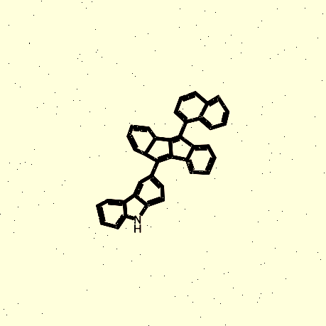 C1=CC2C3=C(c4cccc5ccccc45)c4ccccc4C3=C(c3ccc4[nH]c5ccccc5c4c3)C2C=C1